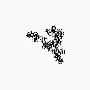 Cc1c(C)c(S(=O)(=O)NC(=N)NCCC[C@H](NC(=O)CNC(=O)[C@H](CCCNC(=N)NS(=O)(=O)c2c(C)c(C)c3c(c2C)CC(C)(C)O3)NC(=O)[C@@H](NC(=O)[C@H](CC(C)C)NC(=O)[C@H](Cc2cn(C(=O)OC(C)(C)C)c3ccccc23)NC(=O)[C@H](C)N)C(C)C)C(=O)NCC(=O)O)c(C)c2c1OC(C)(C)C2